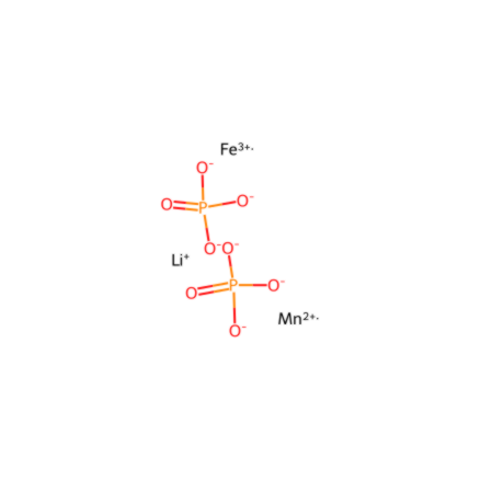 O=P([O-])([O-])[O-].O=P([O-])([O-])[O-].[Fe+3].[Li+].[Mn+2]